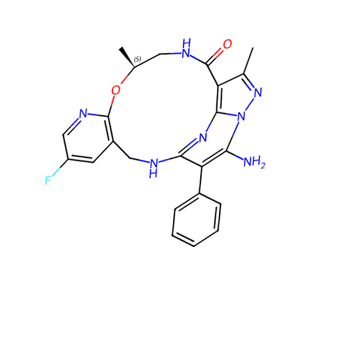 Cc1nn2c(N)c(-c3ccccc3)c3nc2c1C(=O)NC[C@H](C)Oc1ncc(F)cc1CN3